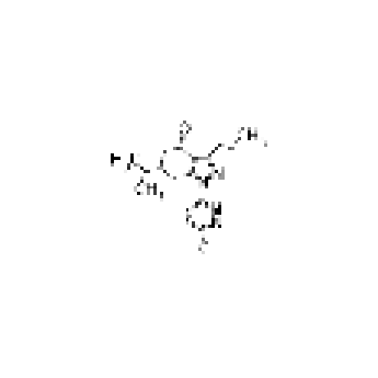 CCCc1nn(-c2ccc(Cl)nn2)c2c1C(=O)CC(C(C)C)C2